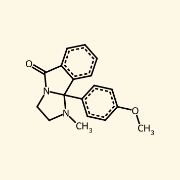 COc1ccc(C23c4ccccc4C(=O)N2CCN3C)cc1